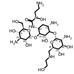 NCCN(O)C(=O)N[C@@H]1C[C@H](N)C(O[C@H]2O[C@H](CNCCO)[C@@H](O)[C@H](O)[C@H]2N)[C@H](O)[C@H]1O[C@H]1O[C@H](CO)[C@@H](O)[C@H](N)[C@H]1O